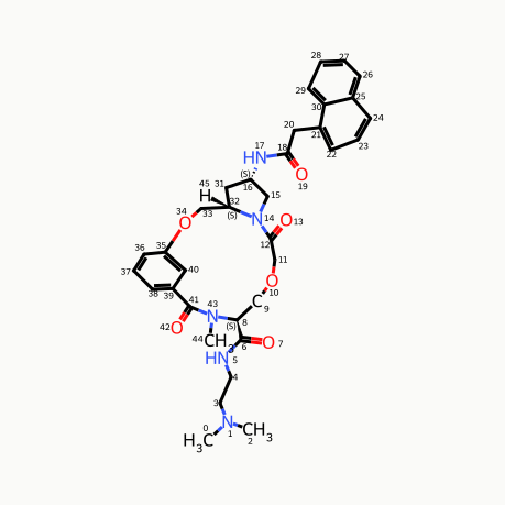 CN(C)CCNC(=O)[C@@H]1COCC(=O)N2C[C@@H](NC(=O)Cc3cccc4ccccc34)C[C@H]2COc2cccc(c2)C(=O)N1C